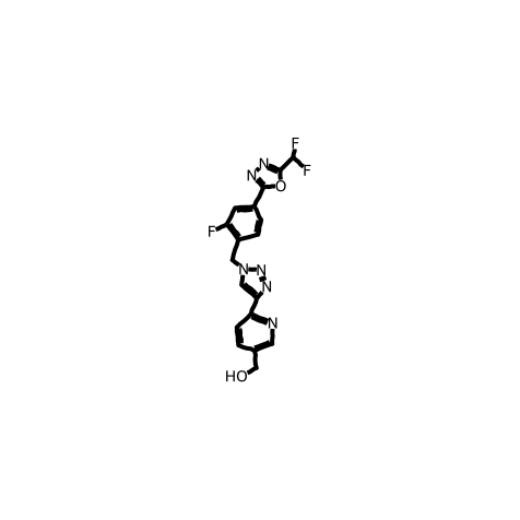 OCc1ccc(-c2cn(Cc3ccc(-c4nnc(C(F)F)o4)cc3F)nn2)nc1